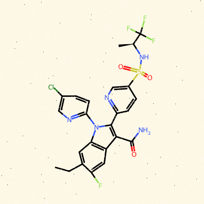 CCc1cc2c(cc1F)c(C(N)=O)c(-c1ccc(S(=O)(=O)N[C@@H](C)C(F)(F)F)cn1)n2-c1ccc(Cl)cn1